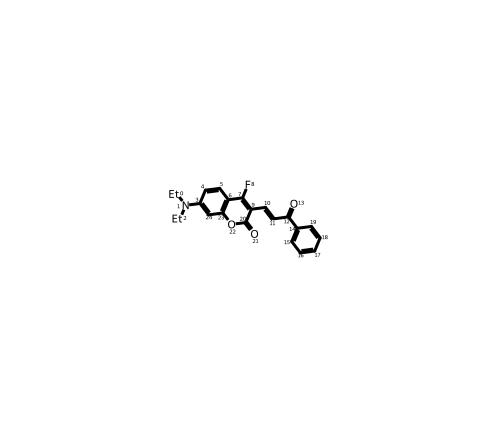 CCN(CC)c1ccc2c(F)c(/C=C/C(=O)c3ccccc3)c(=O)oc2c1